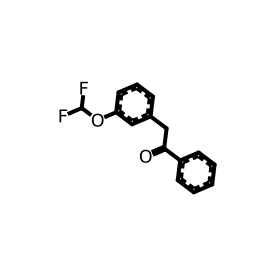 O=C(Cc1cccc(OC(F)F)c1)c1ccccc1